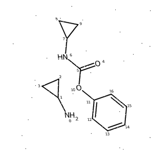 NC1CC1.O=C(NC1CC1)Oc1ccccc1